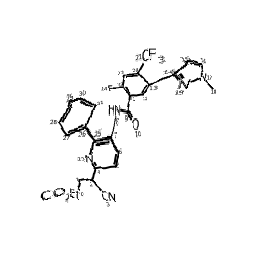 CCOC(=O)CC(C#N)c1ccc(NC(=O)c2cc(-c3ccn(C)n3)c(C(F)(F)F)cc2F)c(-c2ccccc2)n1